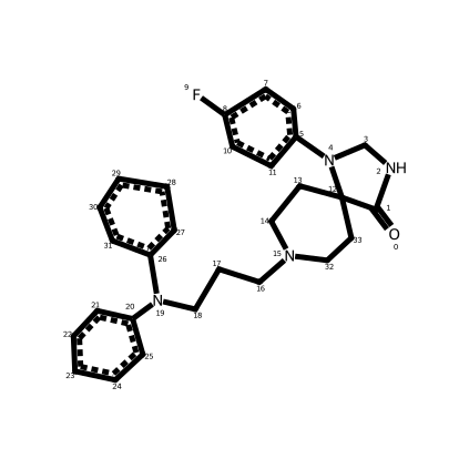 O=C1NCN(c2ccc(F)cc2)C12CCN(CCCN(c1ccccc1)c1ccccc1)CC2